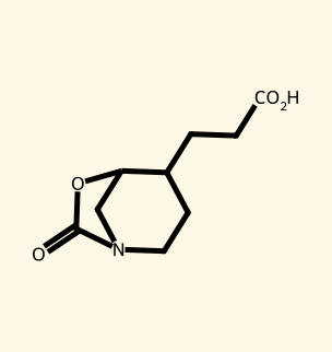 O=C(O)CCC1CCN2CC1OC2=O